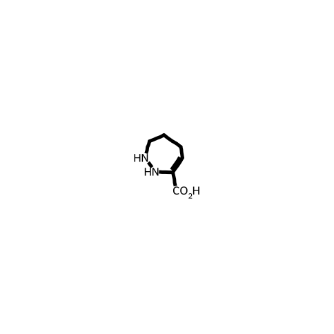 O=C(O)C1=CCCCNN1